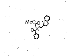 COC(=O)CC(C)(C=Cc1ccc2ccccc2n1)C(=O)c1ccccc1